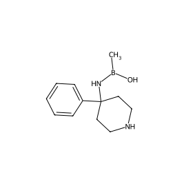 CB(O)NC1(c2ccccc2)CCNCC1